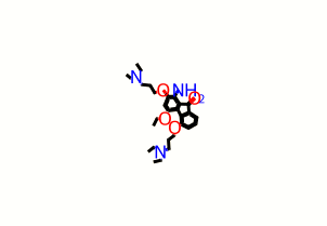 CCOc1cc(OCCCN(CC)CC)c(N)c2c1-c1c(OCCCN(CC)CC)cccc1C2=O